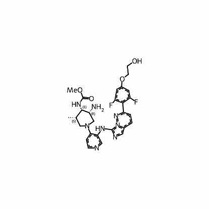 COC(=O)N[C@@H]1[C@H](N)CN(c2ccncc2Nc2ncc3ccc(-c4c(F)cc(OCCO)cc4F)nn23)C[C@@H]1C